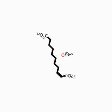 CCCCCCCC/C=C\CCCCCCCC(=O)O.[Fe+2].[O-2]